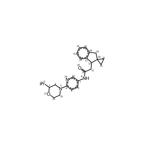 CC(C)C1CN(c2ccc(NC(=O)CC3c4ccccc4CC34CC4)cn2)CCO1